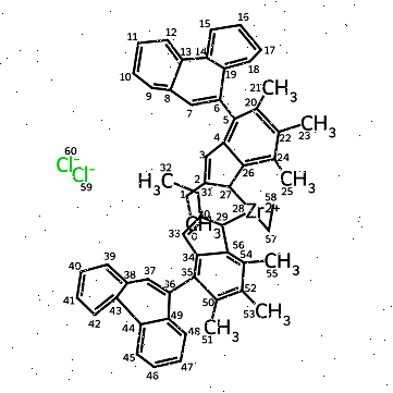 CCC1=Cc2c(-c3cc4ccccc4c4ccccc34)c(C)c(C)c(C)c2[CH]1[Zr+2]1([CH]2C(CC)=Cc3c(-c4cc5ccccc5c5ccccc45)c(C)c(C)c(C)c32)[CH2][CH2]1.[Cl-].[Cl-]